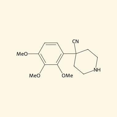 COc1ccc(C2(C#N)CCNCC2)c(OC)c1OC